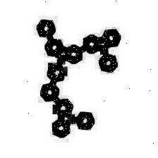 c1ccc(-c2ccc3c(c2)c2cc(-c4ccc5c6ccccc6n(-c6ccccc6)c5c4)ccc2n3-c2ncc(-c3cccc(-c4ccc5c(n4)c4ccccc4n5-c4ccccc4)c3)cn2)cc1